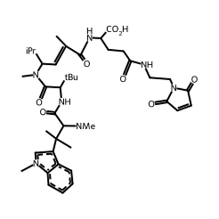 CNC(C(=O)NC(C(=O)N(C)C(/C=C(\C)C(=O)NC(CCC(=O)NCCN1C(=O)C=CC1=O)C(=O)O)C(C)C)C(C)(C)C)C(C)(C)c1cn(C)c2ccccc12